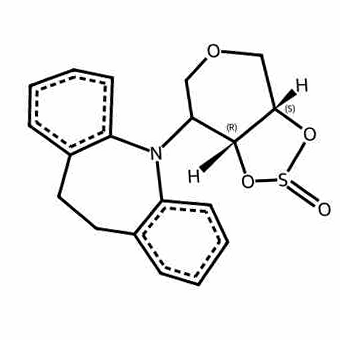 O=S1O[C@H]2COCC(N3c4ccccc4CCc4ccccc43)[C@H]2O1